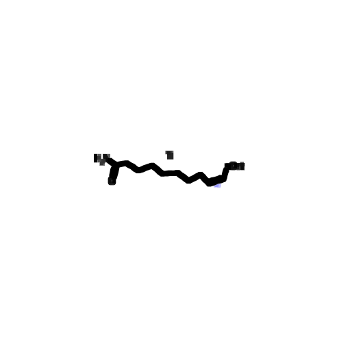 CCCCCCCC/C=C\CCCCCCCC(N)=O.[Ti]